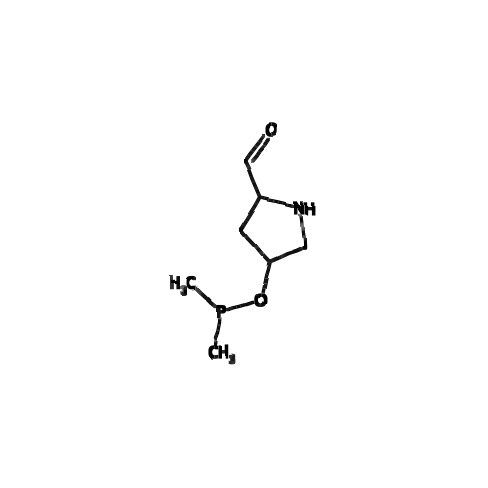 CP(C)OC1CNC(C=O)C1